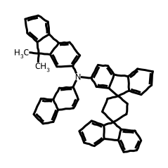 CC1(C)c2ccccc2-c2ccc(N(c3ccc4c(c3)C3(CCC5(CC3)c3ccccc3-c3ccccc35)c3ccccc3-4)c3ccc4ccccc4c3)cc21